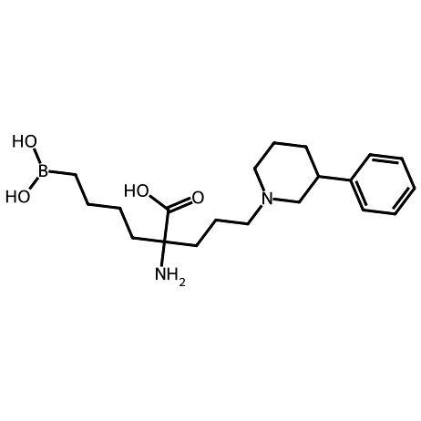 NC(CCCCB(O)O)(CCCN1CCCC(c2ccccc2)C1)C(=O)O